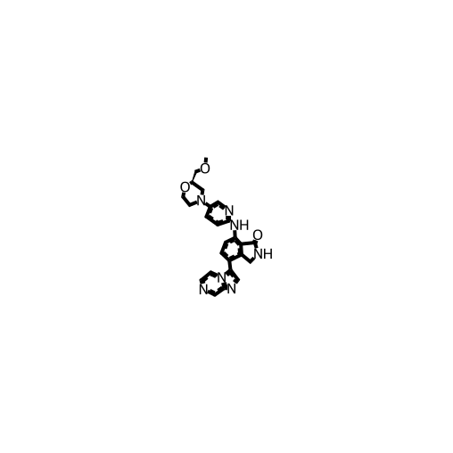 COC[C@H]1CN(c2ccc(Nc3ccc(-c4cnc5cnccn45)c4c3C(=O)NC4)nc2)CCO1